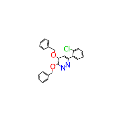 Clc1ccccc1-c1cc(OCc2ccccc2)c(OCc2ccccc2)nn1